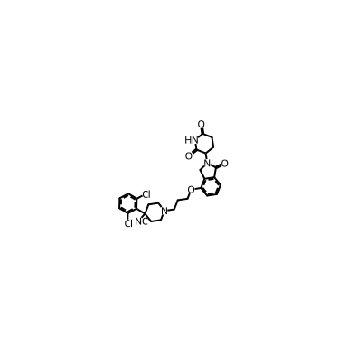 N#CC1(c2c(Cl)cccc2Cl)CCN(CCCOc2cccc3c2CN(C2CCC(=O)NC2=O)C3=O)CC1